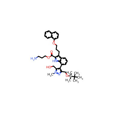 Cn1nc(CO[Si](C)(C)C(C)(C)C)c(-c2cccc3c(CCCOc4cccc5ccccc45)c(C(=O)OCCCN)[nH]c23)c1CO